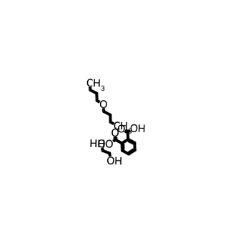 CCCCOCCCC.O=C(O)c1ccccc1C(=O)O.OCCO